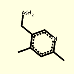 Cc1cc(C)c(C[AsH2])cn1